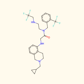 O=C(CNc1cccc2c1CCN(CC1CC1)C2)N(CCNCC(F)(F)F)Cc1ccccc1C(F)(F)F